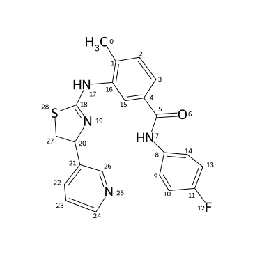 Cc1ccc(C(=O)Nc2ccc(F)cc2)cc1NC1=NC(c2cccnc2)CS1